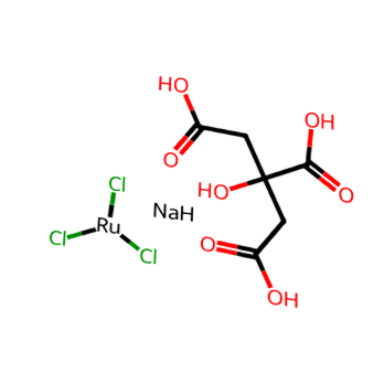 O=C(O)CC(O)(CC(=O)O)C(=O)O.[Cl][Ru]([Cl])[Cl].[NaH]